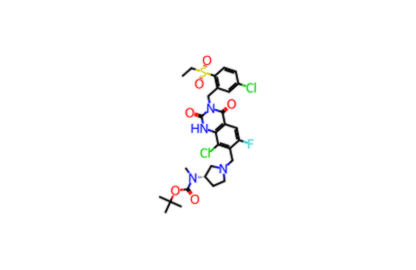 CCS(=O)(=O)c1ccc(Cl)cc1Cn1c(=O)[nH]c2c(Cl)c(CN3CC[C@H](N(C)C(=O)OC(C)(C)C)C3)c(F)cc2c1=O